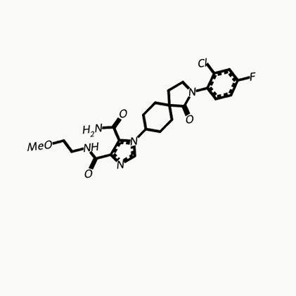 COCCNC(=O)c1ncn(C2CCC3(CC2)CCN(c2ccc(F)cc2Cl)C3=O)c1C(N)=O